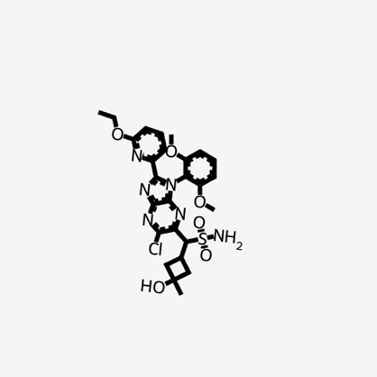 CCOc1cccc(-c2nc3nc(Cl)c(C(C4CC(C)(O)C4)S(N)(=O)=O)nc3n2-c2c(OC)cccc2OC)n1